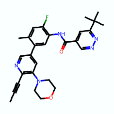 CC#Cc1ncc(-c2cc(NC(=O)c3cnnc(C(C)(C)C)c3)c(F)cc2C)cc1N1CCOCC1